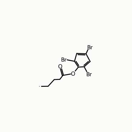 [CH2]CCCC(=O)Oc1c(Br)cc(Br)cc1Br